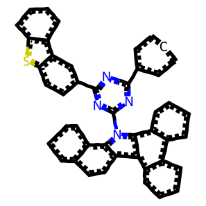 c1ccc(-c2nc(-c3ccc4sc5ccccc5c4c3)nc(-n3c4c5ccccc5ccc4c4c5ccccc5c5ccccc5c43)n2)cc1